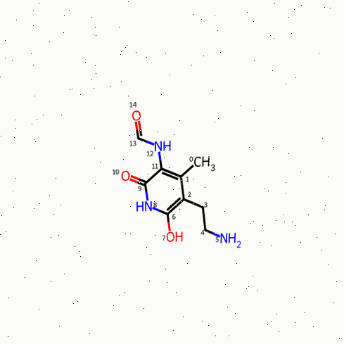 Cc1c(CCN)c(O)[nH]c(=O)c1NC=O